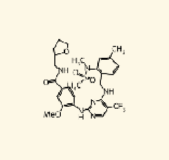 COc1cc(C(=O)NCC2CCCO2)ccc1Nc1ncc(C(F)(F)F)c(NCc2ccc(C)cc2N(C)S(C)(=O)=O)n1